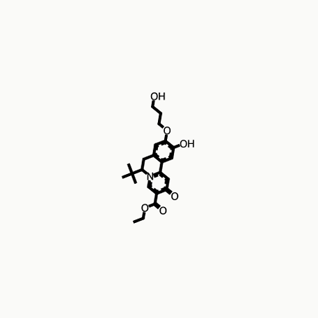 CCOC(=O)c1cn2c(cc1=O)-c1cc(O)c(OCCCO)cc1CC2C(C)(C)C